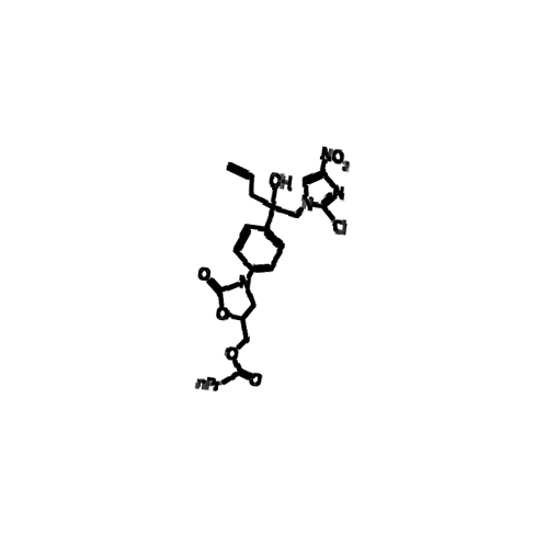 C=CCC(O)(Cn1cc([N+](=O)[O-])nc1Cl)c1ccc(N2CC(COC(=O)CCC)OC2=O)cc1